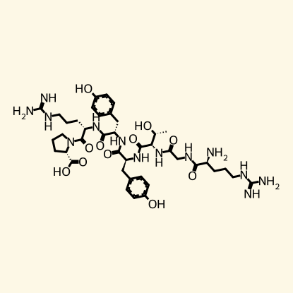 C[C@@H](O)[C@H](NC(=O)CNC(=O)[C@@H](N)CCCNC(=N)N)C(=O)N[C@@H](Cc1ccc(O)cc1)C(=O)N[C@@H](Cc1ccc(O)cc1)C(=O)N[C@@H](CCCNC(=N)N)C(=O)N1CCC[C@H]1C(=O)O